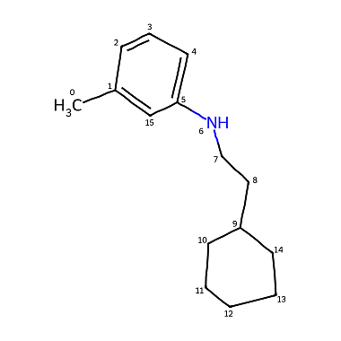 Cc1cccc(NCCC2CCCCC2)c1